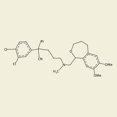 COc1cc2c(cc1OC)C(CN(C)CCCC(C#N)(c1ccc(Cl)c(Cl)c1)C(C)C)OCCC2